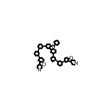 c1ccc(-n2c3ccc(-c4cccc(-c5cccc(-c6ccc7oc8cnccc8c7c6)c5)c4)cc3c3cc(-c4cccc(-c5cccc(-c6ccc7oc8cnccc8c7c6)c5)c4)ccc32)cc1